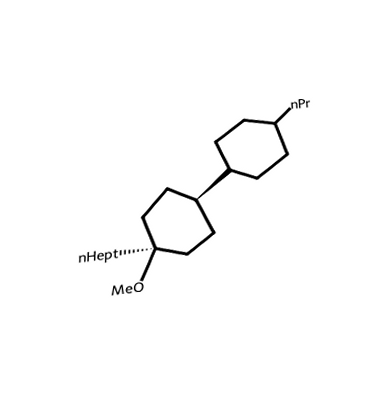 CCCCCCC[C@]1(OC)CC[C@@H](C2CCC(CCC)CC2)CC1